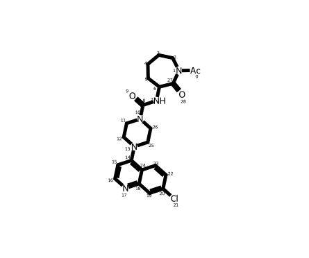 CC(=O)N1CCCCC(NC(=O)N2CCN(c3ccnc4cc(Cl)ccc34)CC2)C1=O